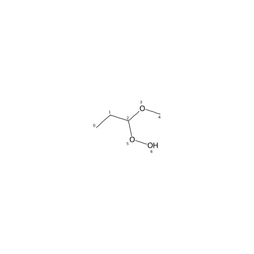 CCC(OC)OO